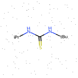 CC(C)NC(=S)NC(C)(C)C